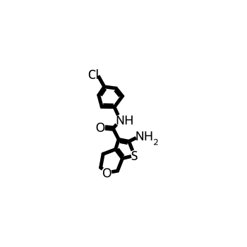 Nc1sc2c(c1C(=O)Nc1ccc(Cl)cc1)CCOC2